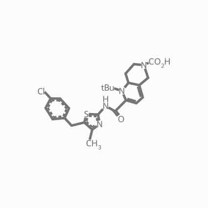 Cc1nc(NC(=O)C2=CC=C3CN(C(=O)O)CCC3N2C(C)(C)C)sc1Cc1ccc(Cl)cc1